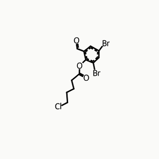 O=Cc1cc(Br)cc(Br)c1OC(=O)CCCCCl